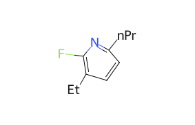 CCCc1ccc(CC)c(F)n1